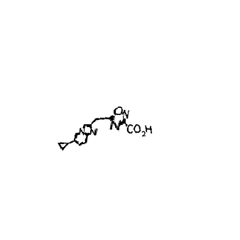 O=C(O)c1noc(Cc2cn3cc(C4CC4)ccc3n2)n1